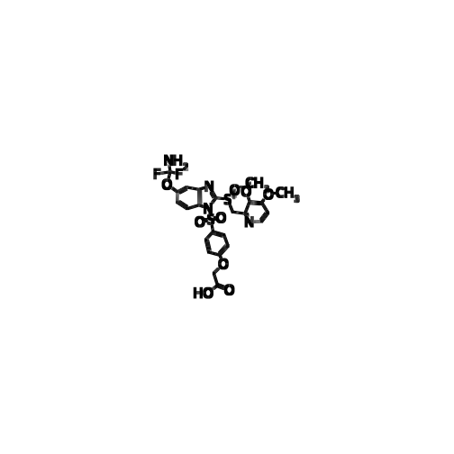 COc1ccnc(C[S+]([O-])c2nc3cc(OC(N)(F)F)ccc3n2S(=O)(=O)c2ccc(OCC(=O)O)cc2)c1OC